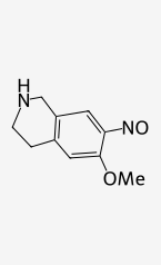 COc1cc2c(cc1N=O)CNCC2